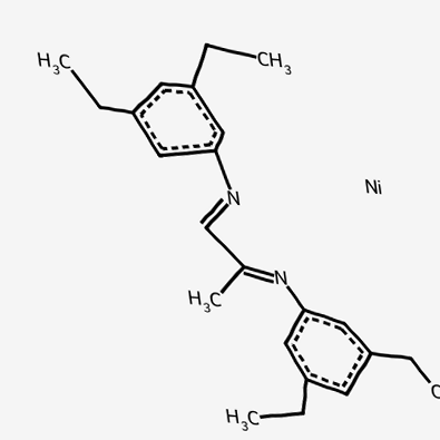 CCc1cc(CC)cc(N=CC(C)=Nc2cc(CC)cc(CC)c2)c1.[Ni]